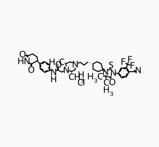 C[C@@H]1CN(CCC[C@H]2CC[C@H](N3C(=S)N(c4ccc(C#N)c(C(F)(F)F)c4)C(=O)C3(C)C)CC2)C[C@H](C)N1CC(=O)Nc1ccc(C2CCC(=O)NC2=O)cc1.Cl